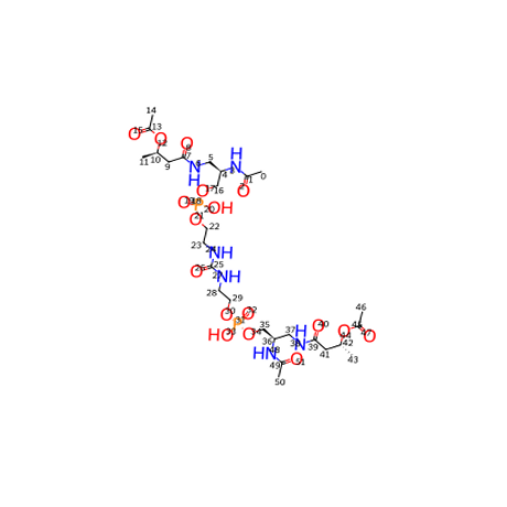 CC(=O)N[C@H](CNC(=O)C[C@@H](C)OC(C)=O)COP(=O)(O)OCCNC(=O)NCCOP(=O)(O)OC[C@@H](CNC(=O)C[C@@H](C)OC(C)=O)NC(C)=O